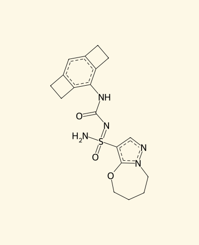 NS(=O)(=NC(=O)Nc1c2c(cc3c1CC3)CC2)c1cnn2c1OCCCC2